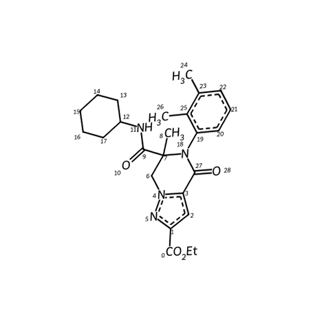 CCOC(=O)c1cc2n(n1)CC(C)(C(=O)NC1CCCCC1)N(c1cccc(C)c1C)C2=O